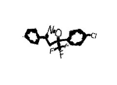 FC(F)(F)C1(c2ccc(Cl)cc2)CC(c2cc[c]cc2)=NO1